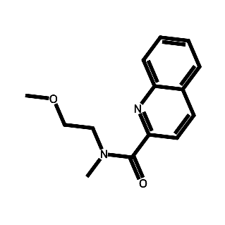 COCCN(C)C(=O)c1ccc2ccccc2n1